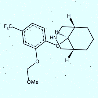 COCOc1cc(C(F)(F)F)ccc1O[C@@H]1[C@@H]2CCC[C@H]1CNC2